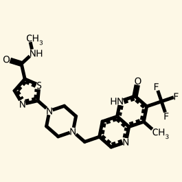 CNC(=O)c1cnc(N2CCN(Cc3cnc4c(C)c(C(F)(F)F)c(=O)[nH]c4c3)CC2)s1